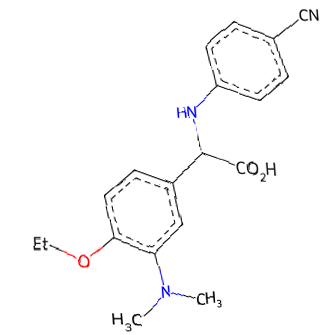 CCOc1ccc(C(Nc2ccc(C#N)cc2)C(=O)O)cc1N(C)C